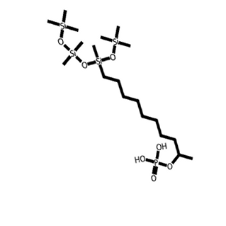 CC(CCCCCCCC[Si](C)(O[Si](C)(C)C)O[Si](C)(C)O[Si](C)(C)C)OP(=O)(O)O